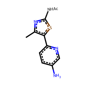 CC(=O)Nc1nc(C)c(-c2ccc(N)cn2)s1